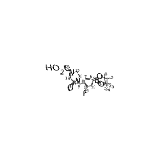 CC1(C)OB(c2ccc(CN3CCN(C(=O)O)CC3=O)c(F)c2)OC1(C)C